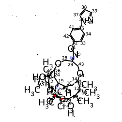 CC[C@H]1OC(=O)C(C)[C@@H](O)[C@H](C)[C@@H](C)[C@@]2(C)C[C@@H](C)/C(=N\C(C)=O)C(C)C(OC/C(=N\Oc3ccc(-n4cccn4)cc3)CO2)[C@]1(C)O